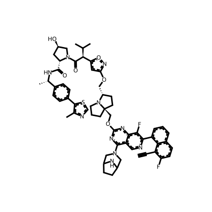 C#Cc1c(F)ccc2cccc(-c3ncc4c(N5CC6CCC(C5)N6)nc(OC[C@@]56CCCN5[C@H](COc5cc([C@@H](C(=O)N7C[C@H](O)C[C@H]7C(=O)N[C@@H](C)c7ccc(-c8scnc8C)cc7)C(C)C)on5)CC6)nc4c3F)c12